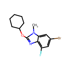 Cn1c(OC2CCCCC2)nc2c(F)cc(Br)cc21